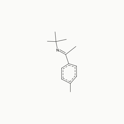 CC(=NC(C)(C)C)c1ccc(C)cc1